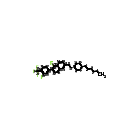 CCCCCC[C@H]1CC[C@H](CCc2ccc3c(F)c(-c4ccc(C(F)(F)F)c(F)c4)ccc3c2)CC1